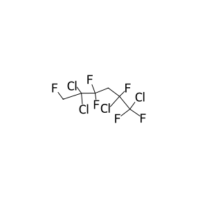 FCC(Cl)(Cl)C(F)(F)CC(F)(Cl)C(F)(F)Cl